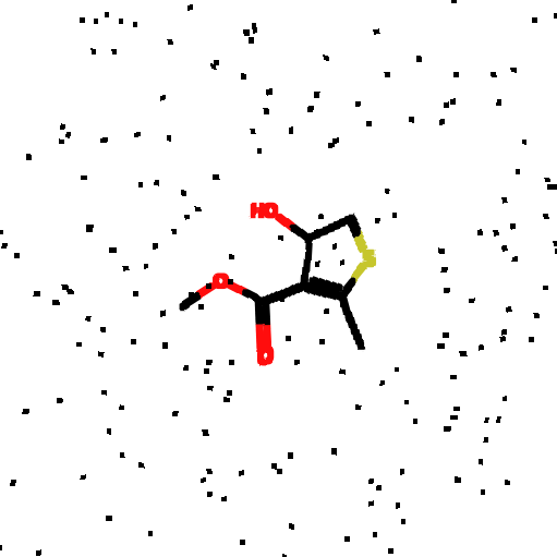 COC(=O)C1=C(C)SCC1O